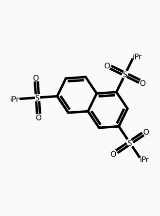 CC(C)S(=O)(=O)c1ccc2c(S(=O)(=O)C(C)C)cc(S(=O)(=O)C(C)C)cc2c1